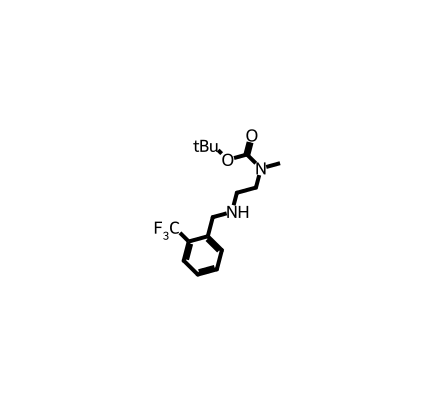 CN(CCNCc1ccccc1C(F)(F)F)C(=O)OC(C)(C)C